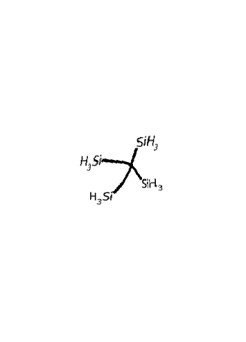 [SiH3]C([SiH3])([SiH3])[SiH3]